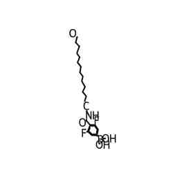 O=CCCCCCCCCCCCCCCCNC(=O)c1c(F)cc(B(O)O)cc1F